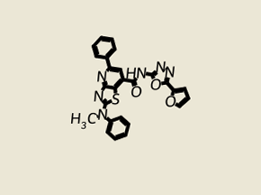 CN(c1ccccc1)c1nc2nc(-c3ccccc3)cc(C(=O)Nc3nnc(-c4ccco4)o3)c2s1